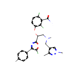 Cc1nn(C)cc1CN(CC(Oc1ccc(F)c(C(N)=O)c1F)c1nc(-c2ccc(C(F)(F)F)cc2)c(Br)o1)C(=O)O